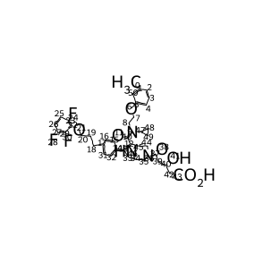 Cc1cccc(OCCN(C(=O)C2=C(c3ccc(CCCOc4c(F)ccc(F)c4F)cc3)CC3CN(C(=O)CC(O)CC(=O)O)CC2N3)C2CC2)c1